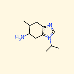 CC1Cc2ncn(C(C)C)c2CC1N